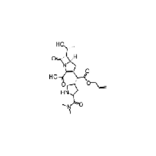 C=CCOC(=O)C(C1=C(C(=O)O)N2C(=O)[C@H]([C@@H](C)O)[C@H]2C1)[C@H]1CN[C@H](C(=O)N(C)C)C1